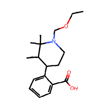 CCOCN1CCC(c2ccccc2C(=O)O)C(C)C1(C)C